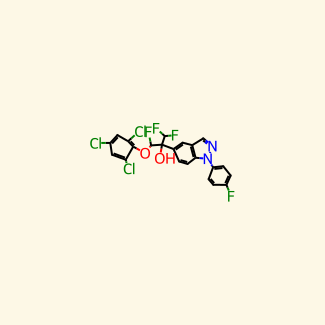 OC(c1ccc2c(cnn2-c2ccc(F)cc2)c1)(C(F)F)C(F)Oc1c(Cl)cc(Cl)cc1Cl